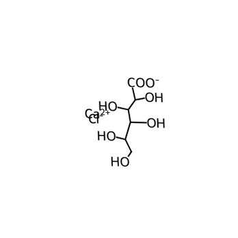 O=C([O-])C(O)C(O)C(O)C(O)CO.[Ca+2].[Cl-]